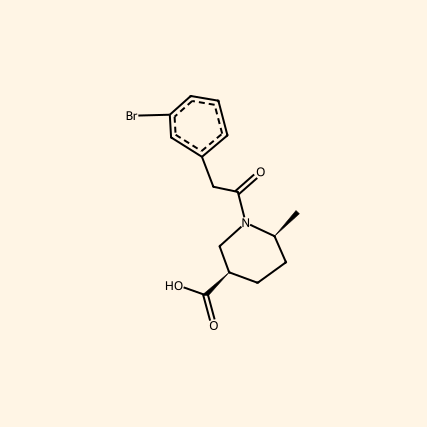 C[C@H]1CC[C@@H](C(=O)O)CN1C(=O)Cc1cccc(Br)c1